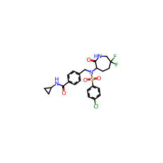 O=C(NC1CC1)c1ccc(CN(C2CCC(F)(F)CNC2=O)S(=O)(=O)c2ccc(Cl)cc2)cc1